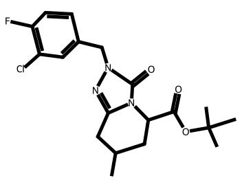 CC1Cc2nn(Cc3ccc(F)c(Cl)c3)c(=O)n2C(C(=O)OC(C)(C)C)C1